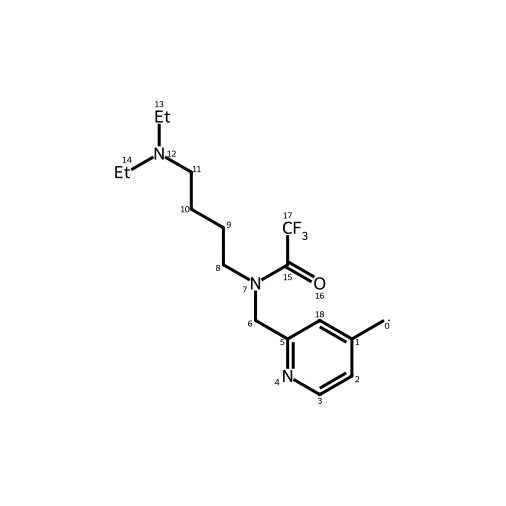 [CH2]c1ccnc(CN(CCCCN(CC)CC)C(=O)C(F)(F)F)c1